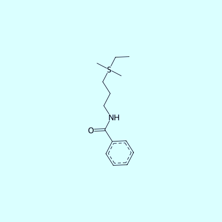 CCS(C)(C)CCCNC(=O)c1ccccc1